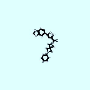 O=C(c1cc(-c2ccc3c(c2)OCO3)on1)N1CC2(C1)CN(c1ccccc1)C2